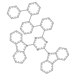 c1ccc(-c2ccccc2-c2ccccc2-c2ccccc2-c2nc(-n3c4ccccc4c4ccccc43)nc(-n3c4ccccc4c4ccccc43)n2)cc1